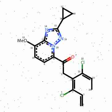 C=C/C(Cl)=C(CC(=O)c1ccc(OC)c2nc(C3CC3)nn12)\C(Cl)=C/C